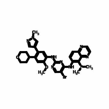 COc1cc(C2CCOCC2)c(-c2cnn(C)c2)cc1Nc1ncc(Br)c(Nc2ccc3nccnc3c2P(C)C)n1